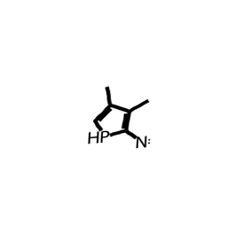 Cc1c[pH]c([N])c1C